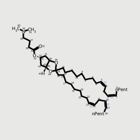 CCCCC/C=C\C/C=C\CCCCCCCCC1(CCCCCCCC/C=C\C/C=C\CCCCC)OC2C[C@@H](OC(=O)CCCN(C)C)C[C@H]2O1